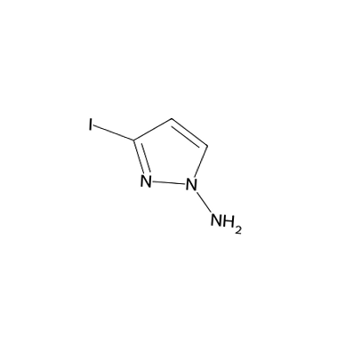 Nn1ccc(I)n1